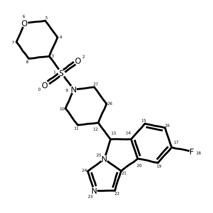 O=S(=O)(C1CCOCC1)N1CCC(C2c3ccc(F)cc3-c3cncn32)CC1